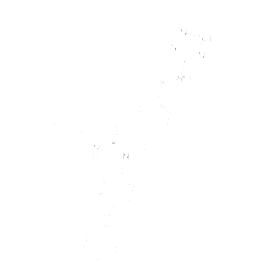 O=C(Nc1nn[nH]n1)c1ccc(CN(C(=O)Nc2cccc(I)c2)c2ccc(C3=CCCCC3)cc2)cc1